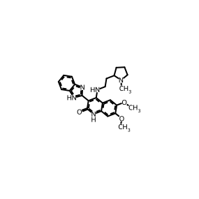 COc1cc2[nH]c(=O)c(-c3nc4ccccc4[nH]3)c(NCCC3CCCN3C)c2cc1OC